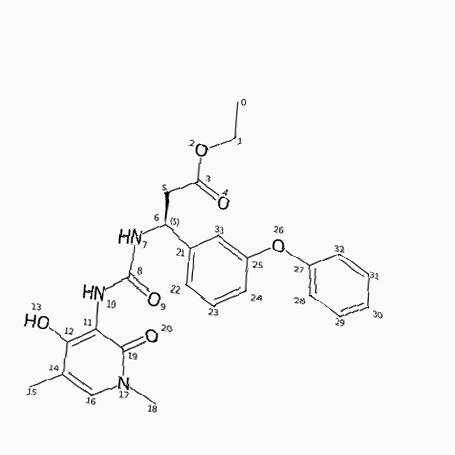 CCOC(=O)C[C@H](NC(=O)Nc1c(O)c(C)cn(C)c1=O)c1cccc(Oc2ccccc2)c1